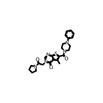 Cc1c(C(=O)N2CCN(c3ccccc3)CC2)sc2ncn(CC(=O)N3CCCC3)c(=O)c12